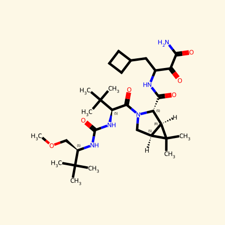 COC[C@@H](NC(=O)N[C@H](C(=O)N1C[C@H]2[C@@H]([C@H]1C(=O)NC(CC1CCC1)C(=O)C(N)=O)C2(C)C)C(C)(C)C)C(C)(C)C